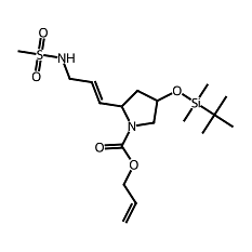 C=CCOC(=O)N1CC(O[Si](C)(C)C(C)(C)C)CC1C=CCNS(C)(=O)=O